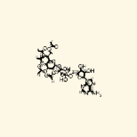 CC(=O)OC[C@H](OC(C)=O)C1O[C@@H](OP(=O)(O)OP(=O)(O)OC[C@H]2O[C@@H](n3cnc4c(N)ncnc43)C(O)C2O)[C@H](OC(C)=O)C(OC(C)=O)[C@@H]1OC(C)=O